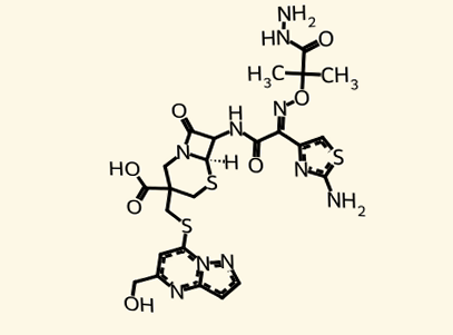 CC(C)(ON=C(C(=O)NC1C(=O)N2CC(CSc3cc(CO)nc4ccnn34)(C(=O)O)CS[C@H]12)c1csc(N)n1)C(=O)NN